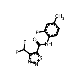 Cc1ccc(NC(=O)c2snnc2C(F)F)c(F)c1